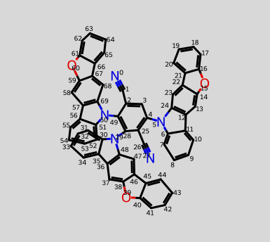 N#Cc1cc(-n2c3ccccc3c3cc4oc5ccccc5c4cc32)c(C#N)c(-n2c3ccccc3c3cc4oc5ccccc5c4cc32)c1-n1c2ccccc2c2cc3oc4ccccc4c3cc21